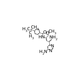 COC/C(=C\C(=C/N)c1cc(N)ncn1)NC(=O)c1ccc(C(C)(C)C)cc1